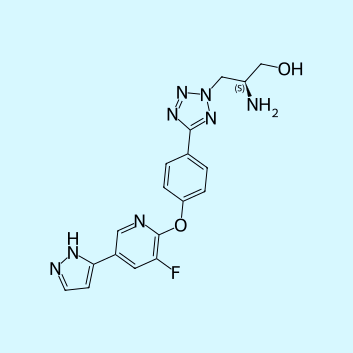 N[C@H](CO)Cn1nnc(-c2ccc(Oc3ncc(-c4ccn[nH]4)cc3F)cc2)n1